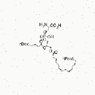 CCCCC/C=C\C/C=C\C/C=C\CCCCC(=O)OC[C@H](COP(=O)(O)OC[C@H](N)C(=O)O)OC(=O)CCCCCCCCCCCCC